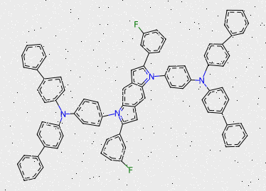 Fc1cccc(-c2cc3cc4c(cc(-c5cccc(F)c5)n4-c4ccc(N(c5ccc(-c6ccccc6)cc5)c5ccc(-c6ccccc6)cc5)cc4)cc3n2-c2ccc(N(c3ccc(-c4ccccc4)cc3)c3ccc(-c4ccccc4)cc3)cc2)c1